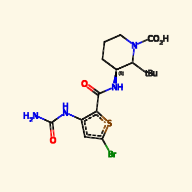 CC(C)(C)C1[C@@H](NC(=O)c2sc(Br)cc2NC(N)=O)CCCN1C(=O)O